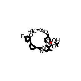 Cc1cc2nc3cn2c(c1[C@H](OC(C)(C)C)C(=O)O)N1CCC(C)(CC1)OCCCC[C@H](C)Oc1cc(F)ccc1-c1cccc-3c1